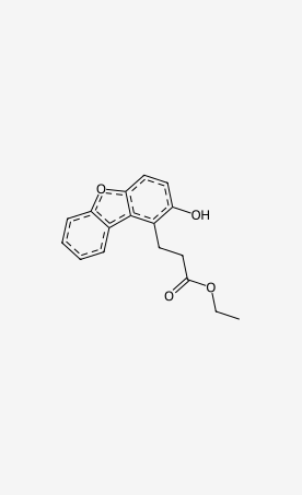 CCOC(=O)CCc1c(O)ccc2oc3ccccc3c12